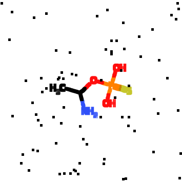 CC(N)OP(O)(O)=S